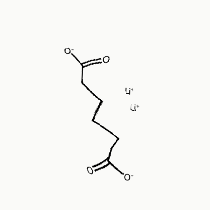 O=C([O-])CCCCC(=O)[O-].[Li+].[Li+]